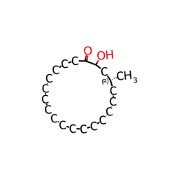 C[C@@H]1CCCCCCCCCCCCCCCCC(=O)C(O)C1